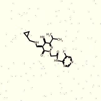 CC(C)C1=NN(CC(=O)Nc2ncncc2F)C(=O)/C(=C/NCC2CC2)C1=N